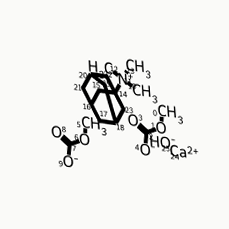 COC(=O)[O-].COC(=O)[O-].C[N+](C)(C)C12CC3CC(CC(C3)C1)C2.[Ca+2].[OH-]